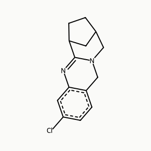 Clc1ccc2c(c1)N=C1C3CCC(C3)CN1C2